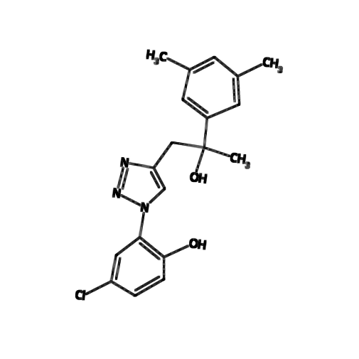 Cc1cc(C)cc(C(C)(O)Cc2cn(-c3cc(Cl)ccc3O)nn2)c1